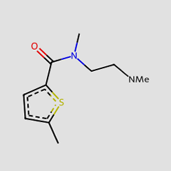 CNCCN(C)C(=O)c1ccc(C)s1